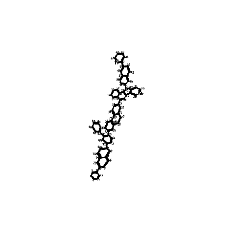 c1ccc(-c2ccc3cc(-c4ccc(-c5ccc6c(ccc7cc(-c8cc9c%10cnccc%10n(-c%10ccc%11cc(-c%12ccccn%12)ccc%11c%10)c9c9ccccc89)ccc76)c5)c(-c5ccccc5)c4)ccc3c2)cc1